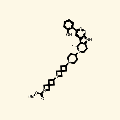 C[C@@H]1c2c([nH]c3nnc(-c4ccccc4O)cc23)CCN1C1CCN(C2CC3(C2)CN(C2CC4(C2)CN(C(=O)OC(C)(C)C)C4)C3)CC1